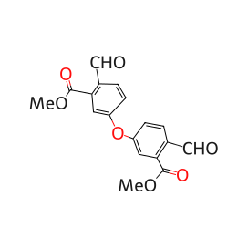 COC(=O)c1cc(Oc2ccc(C=O)c(C(=O)OC)c2)ccc1C=O